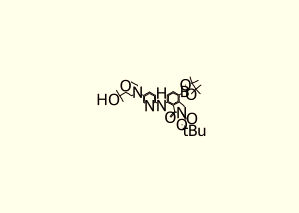 CC(C)(C)OC(=O)N1Cc2c(B3OC(C)(C)C(C)(C)O3)ccc(Nc3ccc(N4CCOC(C(C)(C)O)C4)cn3)c2C1=O